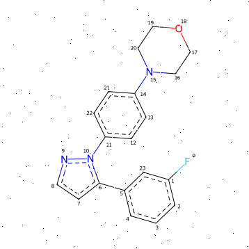 Fc1cccc(-c2ccnn2-c2ccc(N3CCOCC3)cc2)c1